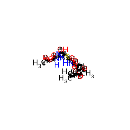 CO[C@H]1[C@H](C2(C)O[C@@H]2CC=C(C)C)[C@]2(CC[C@H]1OC(=O)NC(=O)CSc1cc(O)nc(NC(=O)COCC(C)=O)n1)CO2